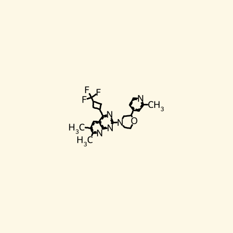 Cc1cc(C2CN(c3nc(C4CC(C(F)(F)F)C4)c4cc(C)c(C)nc4n3)CCO2)ccn1